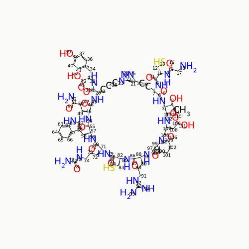 C[C@@H](O)[C@@H]1NC(=O)[C@@H](NC(=O)[C@H](CS)NC(=O)CN)CCc2cn(nn2)CCC[C@@H](C(=O)N[C@@H](Cc2ccc(O)cc2)C(=O)O)NC(=O)[C@H](CCC(N)=O)NC(=O)[C@H](Cc2c[nH]c3ccccc23)NC(=O)[C@H](CCCNC(N)=O)NC(=O)[C@H](CS)NC(=O)[C@H](CCCNC(=N)N)NC(=O)[C@@H]2CCCCN2C(=O)[C@H](CC(=O)O)NC1=O